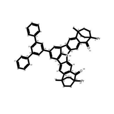 CC(C)C12CCC(C)(CC1)c1cc3c4cc(-c5cc(-c6ccccc6)cc(-c6ccccc6)c5)cc5c6cc7c(cc6n(c3cc1C2=O)c45)C(=O)C1(C(C)C)CCC7(C)CC1